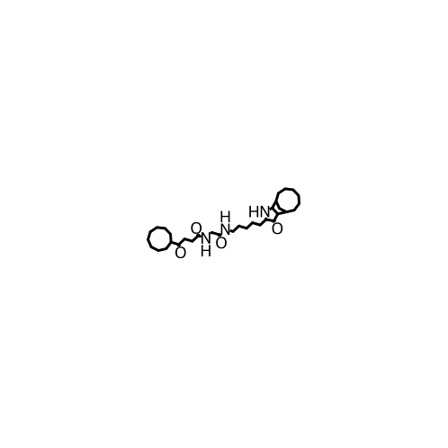 O=C(CCC(=O)C1CCCCCCCC1)NCC(=O)NCCCCCC1NC2C3CCCCCCC(C3)C2C1=O